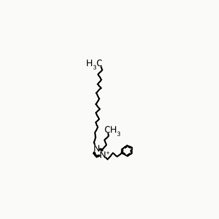 CCCCCCCCCCCCCCCCCn1cc[n+](CCCc2ccccc2)c1CCCC